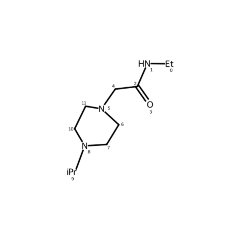 CCNC(=O)CN1CCN(C(C)C)CC1